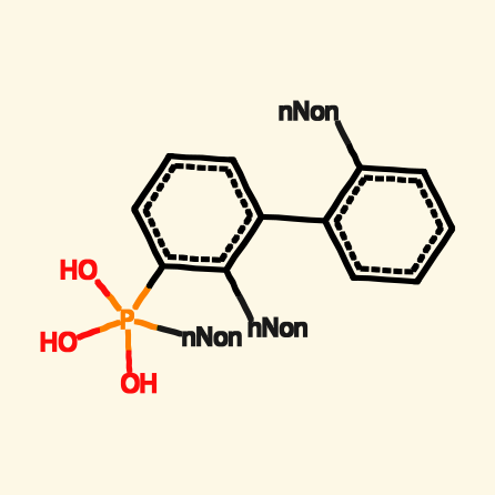 CCCCCCCCCc1ccccc1-c1cccc(P(O)(O)(O)CCCCCCCCC)c1CCCCCCCCC